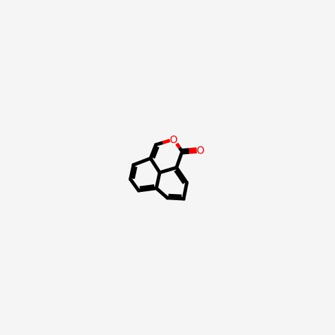 O=C1OC=C2C=CC=C3C=CC=C1C32